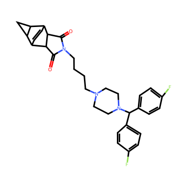 O=C1C2C3C=CC(C4CC34)C2C(=O)N1CCCCN1CCN(C(c2ccc(F)cc2)c2ccc(F)cc2)CC1